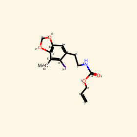 C=CCOC(=O)NCCc1cc2c(c(OC)c1I)OCO2